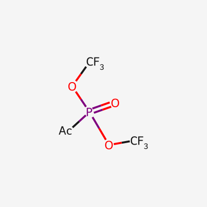 CC(=O)P(=O)(OC(F)(F)F)OC(F)(F)F